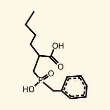 CCCCC(CP(=O)(O)Cc1ccccc1)C(=O)O